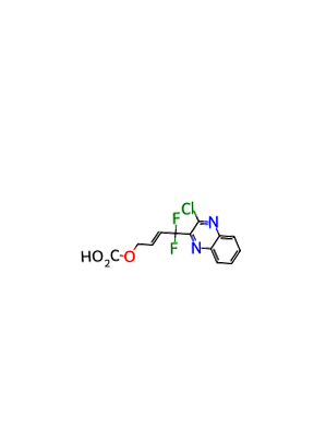 O=C(O)OC/C=C/C(F)(F)c1nc2ccccc2nc1Cl